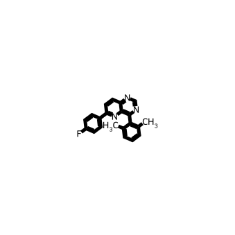 Cc1cccc(C)c1-c1ncnc2ccc(-c3ccc(F)cc3)nc12